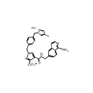 Cc1cnn(Cc2ccc(Cn3cc(C(=O)NCc4ccc5c(N)nccc5c4)c(C(=O)O)n3)cc2)c1.Cl